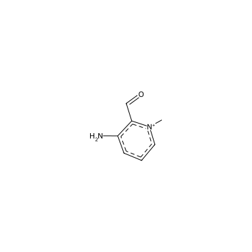 C[n+]1cccc(N)c1C=O